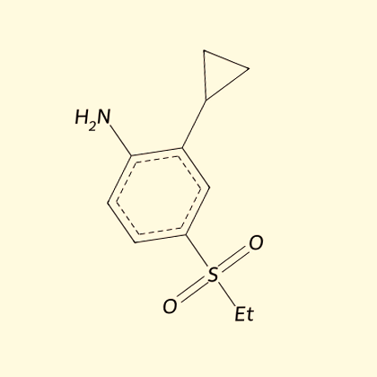 CCS(=O)(=O)c1ccc(N)c(C2CC2)c1